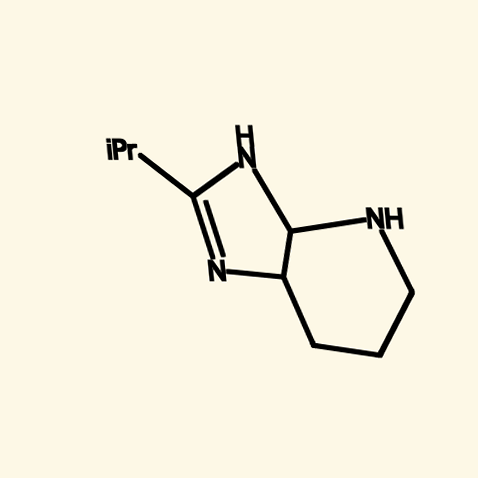 CC(C)C1=NC2CCCNC2N1